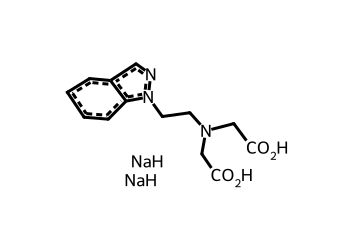 O=C(O)CN(CCn1ncc2ccccc21)CC(=O)O.[NaH].[NaH]